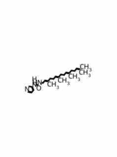 CC(C)=CCC/C(C)=C/CC/C(C)=C/CC/C(C)=C/CNC(=O)Nc1cccnc1